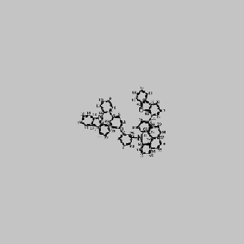 c1cc(-c2ccc(-c3ccccc3-n3c4ccccc4c4ccccc43)cc2)cc(N(c2ccc(-c3cccc4c3oc3ccccc34)cc2)c2cccc3ccc4ccccc4c23)c1